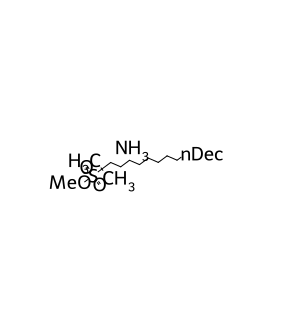 CCCCCCCCCCCCCCCCCCC(C)(C)S(=O)(=O)OC.N